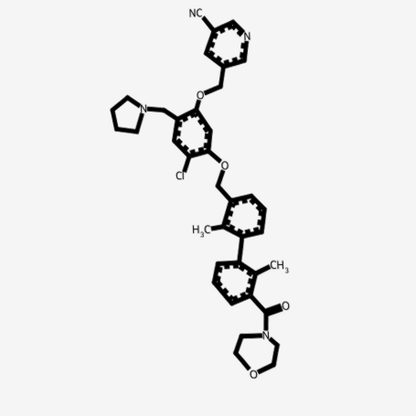 Cc1c(COc2cc(OCc3cncc(C#N)c3)c(CN3CCCC3)cc2Cl)cccc1-c1cccc(C(=O)N2CCOCC2)c1C